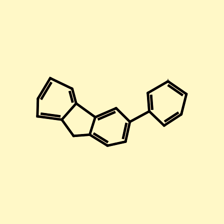 [c]1cccc(-c2ccc3c(c2)-c2ccccc2C3)c1